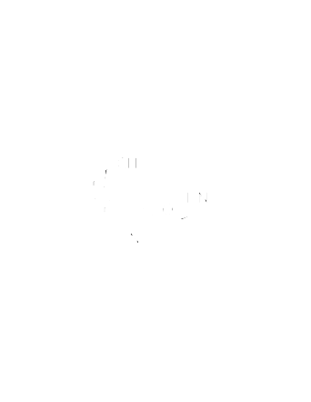 CC[C@@H]1C[C@H]1c1cncc(OC[C@@H]2CCN2)c1